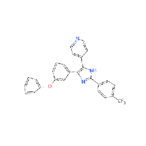 FC(F)(F)c1ccc(-c2nc(-c3cccc(Oc4ccccc4)c3)c(-c3ccncc3)[nH]2)cc1